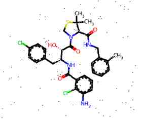 Cc1ccccc1CNC(=O)C1N(C(=O)[C@@H](O)[C@H](Cc2ccc(Cl)cc2)NC(=O)c2cccc(N)c2Cl)CSC1(C)C